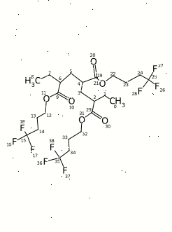 CCC(CC(CC(CC)C(=O)OCCCC(F)(F)F)C(=O)OCCCC(F)(F)F)C(=O)OCCCC(F)(F)F